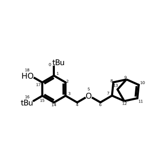 CC(C)(C)c1cc(COCC2CC3C=CC2C3)cc(C(C)(C)C)c1O